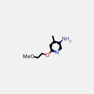 COCCOc1cc(C)c(N)cn1